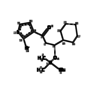 CC(C)(C)[Si](C)(C)OC(CC(=O)c1ccsc1Br)C1CCCCC1